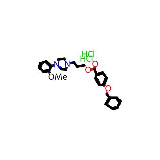 COc1ccccc1N1CCN(CCCOC(=O)c2ccc(OCc3ccccc3)cc2)CC1.Cl.Cl